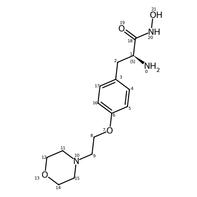 N[C@@H](Cc1ccc(OCCN2CCOCC2)cc1)C(=O)NO